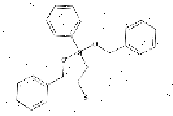 BrCC[Si](OCc1ccccc1)(OCc1ccccc1)c1ccccc1